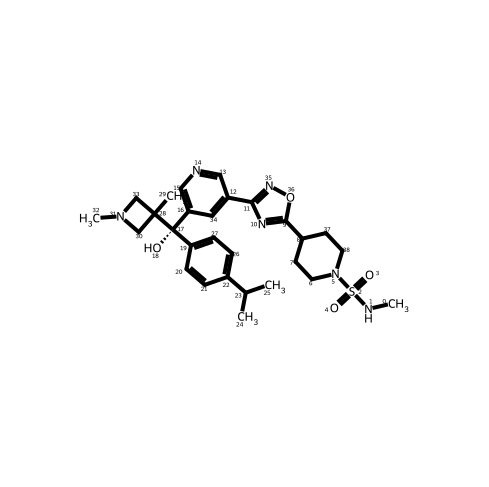 CNS(=O)(=O)N1CCC(c2nc(-c3cncc([C@@](O)(c4ccc(C(C)C)cc4)C4(C)CN(C)C4)c3)no2)CC1